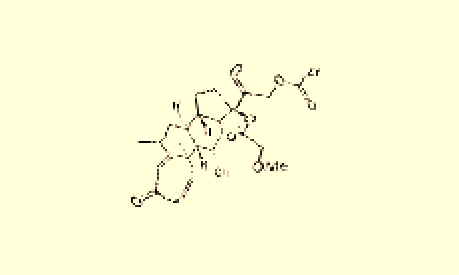 CCC(=O)OCC(=O)[C@@]1(OC(=O)COC)CC[C@H]2[C@@H]3C[C@H](C)C4=CC(=O)C=C[C@]4(C)[C@H]3[C@@H](O)C[C@@]21C